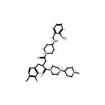 Cc1ccc(CC(CC(=O)N2CCC(NCc3ccccc3N)CC2)C(=O)N2CCN(C3CCN(C)CC3)CC2)cc1C